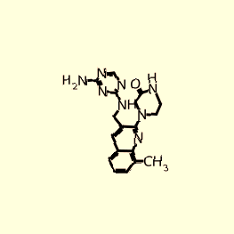 Cc1cccc2cc(CNc3ncnc(N)n3)c(N3CCNC(=O)C3)nc12